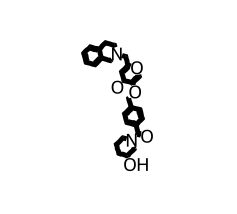 O=C(c1ccc(COc2coc(CN3CCc4ccccc4C3)cc2=O)cc1)N1CCCC(O)C1